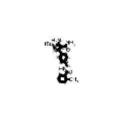 Cc1ccccc1C(=O)NCc1ccc(-c2nn(C(C)(C)C)c(N)c2C(N)=O)cc1